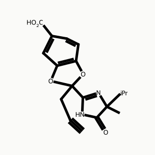 C#CCC1(C2=NC(C)(C(C)C)C(=O)N2)Oc2ccc(C(=O)O)cc2O1